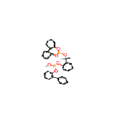 COP(Oc1ccccc1-c1ccccc1)Oc1ccccc1C(C)(C)Op1oc2ccccc2c2ccccc2o1